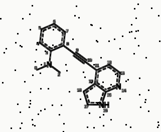 CN(C)c1ccccc1C#Cc1ccnc2[nH]ccc12